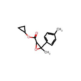 Cc1ccc(C2(C)OC2C(=O)OC2CC2)cc1